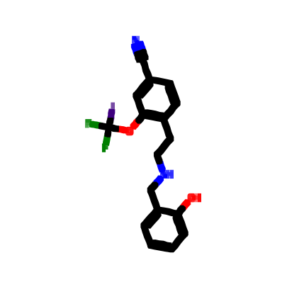 N#Cc1ccc(CCNCc2ccccc2O)c(OC(F)(F)I)c1